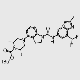 Cc1cn2cc(NC(=O)N3CCc4c(N5C[C@@H](C)N(C(=O)OC(C)(C)C)[C@@H](C)C5)ccnc43)cc(C(F)F)c2n1